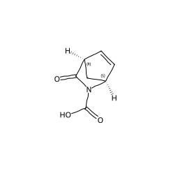 O=C(O)N1C(=O)[C@H]2C=C[C@@H]1C2